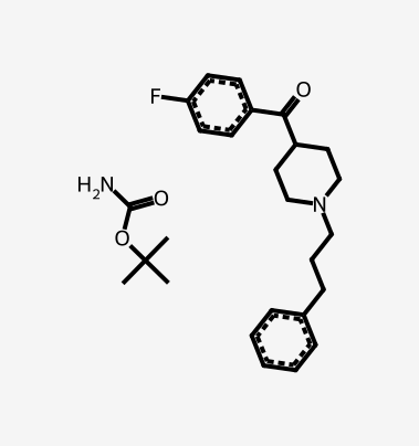 CC(C)(C)OC(N)=O.O=C(c1ccc(F)cc1)C1CCN(CCCc2ccccc2)CC1